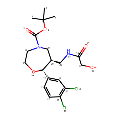 CC(C)(C)OC(=O)N1CCO[C@@H](c2ccc(Cl)c(Cl)c2)[C@H](CNC(=O)CO)C1